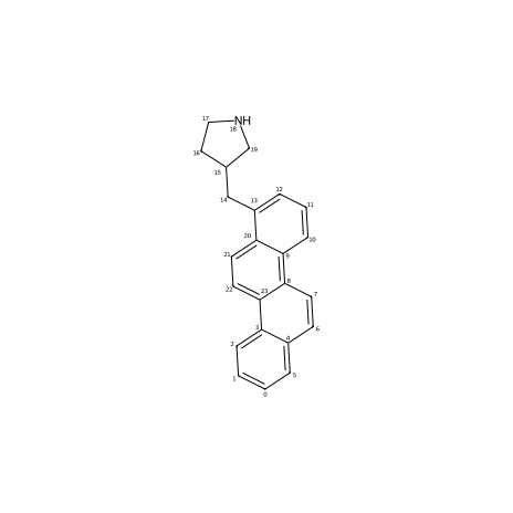 c1ccc2c(c1)ccc1c3cccc(CC4CCNC4)c3ccc21